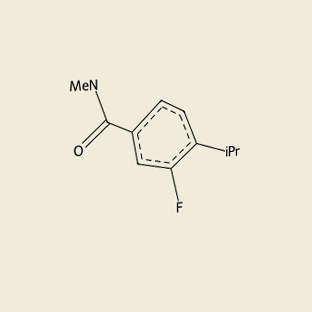 CNC(=O)c1ccc(C(C)C)c(F)c1